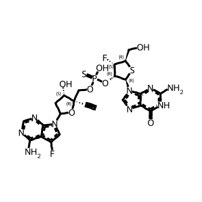 C#C[C@]1(COP(O)(=S)O[C@@H]2[C@H](F)[C@@H](CO)S[C@H]2n2cnc3c(=O)[nH]c(N)nc32)OC(n2cc(F)c3c(N)ncnc32)C[C@@H]1O